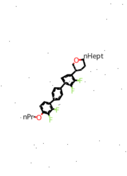 CCCCCCCC1CCC(c2ccc(-c3ccc(-c4ccc(OCCC)c(F)c4F)cc3)c(F)c2F)CO1